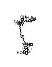 C#Cc1c(F)ccc2cc(O)cc(-c3ncc4c(N5CC6CCC(C5)N6)nc(OCCCN5CCN(CCCCCCCC(=O)N[C@H](C(=O)N6C[C@H](O)C[C@H]6C(=O)NCc6ccc(C7=C(C)N=CC7)cc6)C(C)(C)C)CC5)nc4c3F)c12